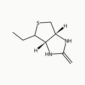 C=C1N[C@H]2CSC(CC)[C@H]2N1